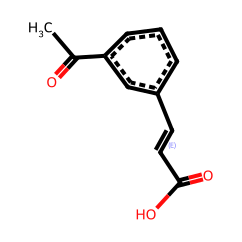 CC(=O)c1cccc(/C=C/C(=O)O)c1